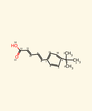 CC(C)(C)c1ccc(C=CC=CC(=O)O)cc1